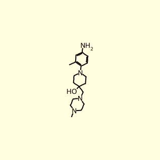 Cc1cc(N)ccc1N1CCC(O)(CN2CCN(C)CC2)CC1